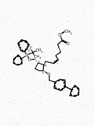 COC(=O)CCC/C=C\C[C@@H]1[C@@H](CO[Si](c2ccccc2)(c2ccccc2)C(C)(C)C)CC[C@@H]1OCc1ccc(-c2ccccc2)cc1